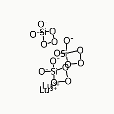 [Lu+3].[Lu+3].[O-][Si]1([O-])OOO1.[O-][Si]1([O-])OOO1.[O-][Si]1([O-])OOO1